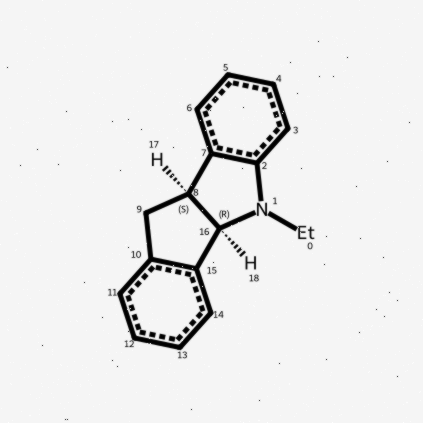 CCN1c2ccccc2[C@@H]2Cc3ccccc3[C@@H]21